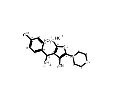 Cl.N#Cc1c(N2CCOCC2)sc(C(=O)O)c1C(N)c1ccc(Cl)cc1